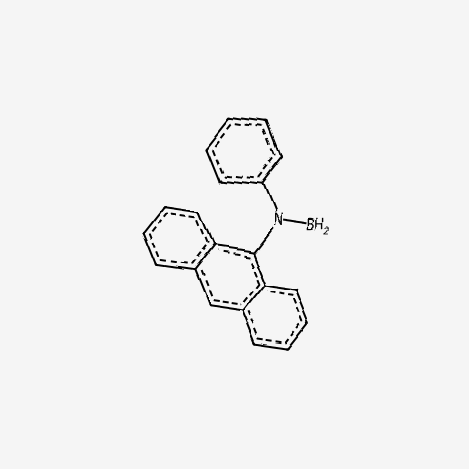 BN(c1ccccc1)c1c2ccccc2cc2ccccc12